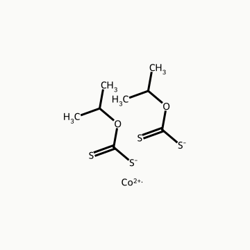 CC(C)OC(=S)[S-].CC(C)OC(=S)[S-].[Co+2]